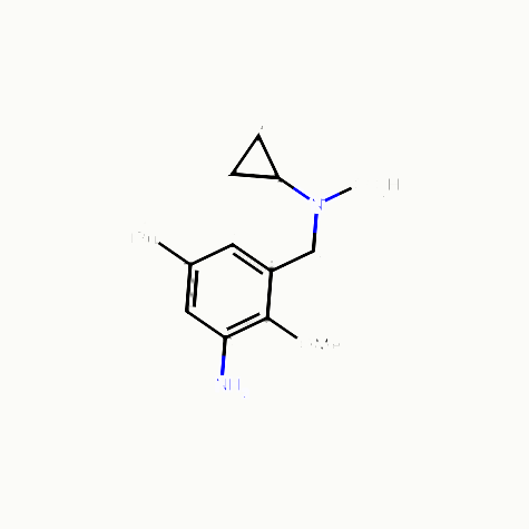 COc1c(N)cc(C(C)(C)C)cc1CN(C(=O)O)C1CC1